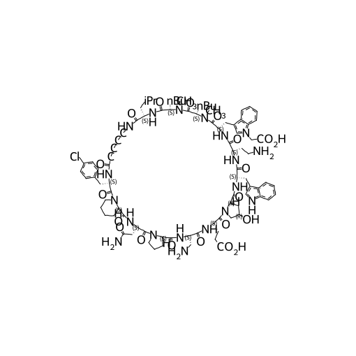 CCCC[C@H]1C(=O)N(C)[C@@H](CCCC)C(=O)N[C@@H](CC(C)C)C(=O)NCCCCC(=O)N[C@@H](Cc2ccc(Cl)cc2)C(=O)N2CCCC[C@H]2C(=O)N[C@@H](CC(N)=O)C(=O)N2CCC[C@H]2C(=O)N[C@@H](CN)C(=O)N[C@@H](CCC(=O)O)C(=O)N2C[C@H](O)C[C@H]2C(=O)N[C@@H](Cc2c[nH]c3ccccc23)C(=O)N[C@@H](CCN)C(=O)N[C@@H](Cc2cn(CC(=O)O)c3ccccc23)C(=O)N1C